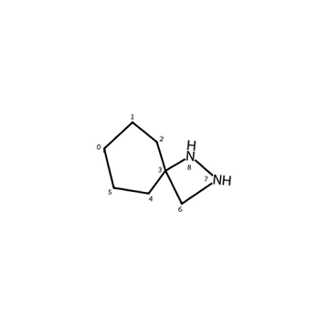 [CH]1CCC2(CC1)CNN2